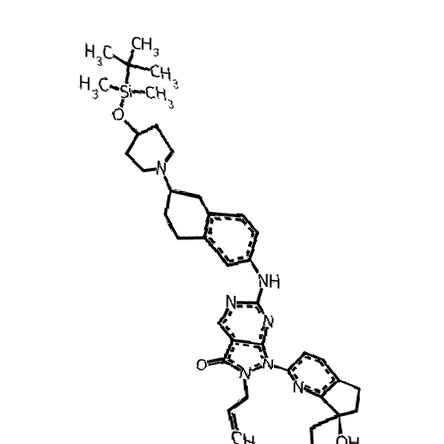 C=CCn1c(=O)c2cnc(Nc3ccc4c(c3)CCC(N3CCC(O[Si](C)(C)C(C)(C)C)CC3)C4)nc2n1-c1ccc2c(n1)[C@@](O)(CC)CC2